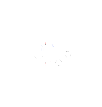 CC(C)=CC1C(C(=O)OCc2cccc(Oc3ccccc3)c2)C1(C)C.CNC(=O)O/N=C/C(C)(C)SC